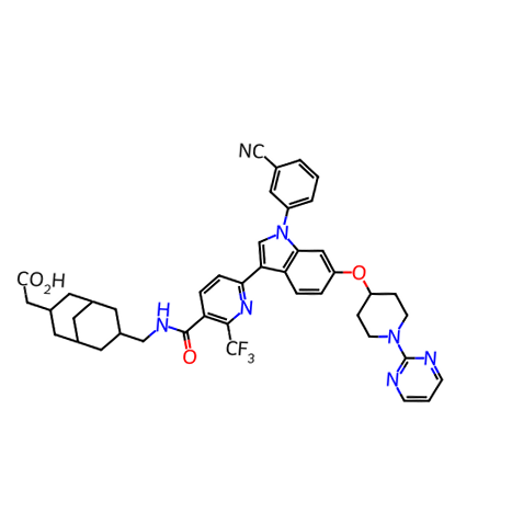 N#Cc1cccc(-n2cc(-c3ccc(C(=O)NCC4CC5CC(CC(=O)O)CC(C4)C5)c(C(F)(F)F)n3)c3ccc(OC4CCN(c5ncccn5)CC4)cc32)c1